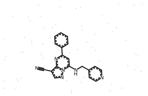 N#Cc1cnn2c(NCc3ccncc3)cc(-c3ccccc3)nc12